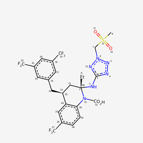 CC[C@]1(Nc2nnn(CS(C)(=O)=O)n2)C[C@H](Cc2cc(C(F)(F)F)cc(C(F)(F)F)c2)c2cc(C(F)(F)F)ccc2N1C(=O)O